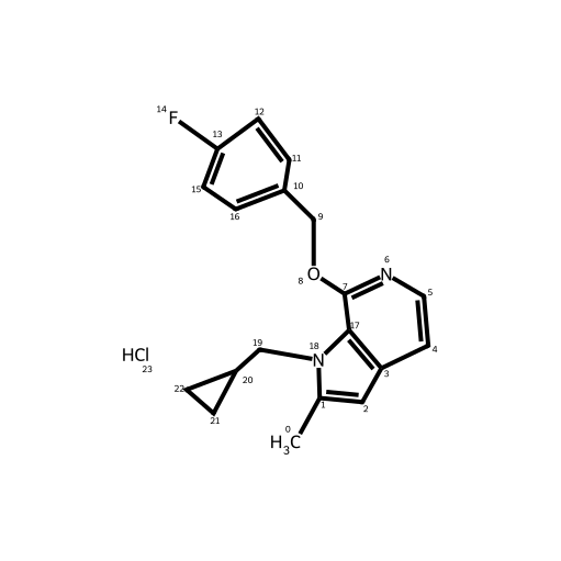 Cc1cc2ccnc(OCc3ccc(F)cc3)c2n1CC1CC1.Cl